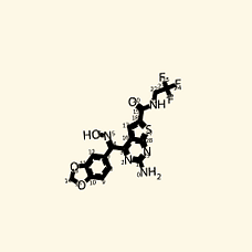 Nc1nc(C(=NO)c2ccc3c(c2)OCO3)c2cc(C(=O)NCC(F)(F)F)sc2n1